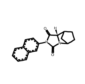 O=C1[C@@H]2C3CCC(C3)N2C(=O)N1c1ccc2ccccc2c1